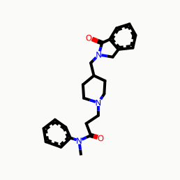 CN(C(=O)CCN1CCC(CN2Cc3ccccc3C2=O)CC1)c1ccccc1